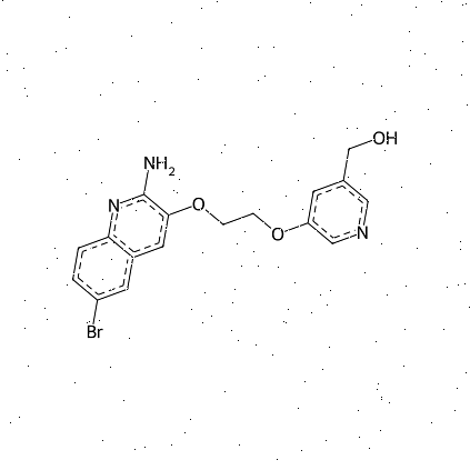 Nc1nc2ccc(Br)cc2cc1OCCOc1cncc(CO)c1